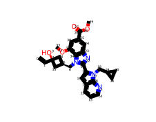 C=C[C@]1(O)C[C@@H](Cn2c(-c3cc4cccnc4n3CC3CC3)nc3cc(C(=O)OC)cc(OC)c32)C1